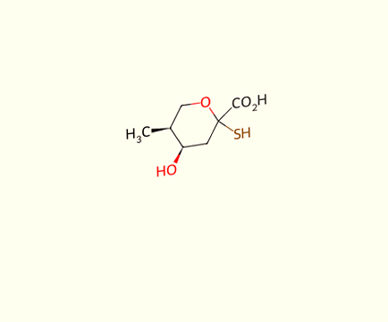 C[C@H]1COC(S)(C(=O)O)C[C@H]1O